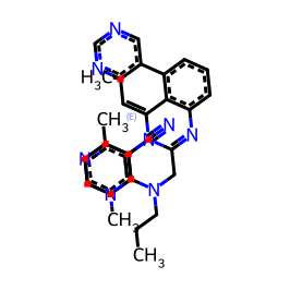 CC/C=C1\c2c(cccc2-c2cncnc2)N=C(CN(CCC)C2=C(C#N)C(C)=NCN2C)N1c1ccccc1